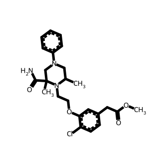 COC(=O)Cc1ccc(Cl)c(OCCN2C(C)CN(c3ccccc3)CC2(C)C(N)=O)c1